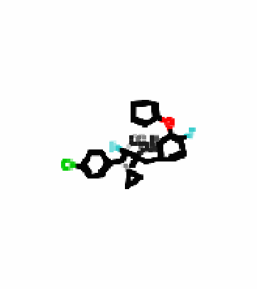 CC(=O)O[C@](C)(Cc1ccc(F)c(Oc2ccccc2)c1)[C@@](F)(C(=O)O)[C@@H](c1ccc(Cl)cc1)C1CC1